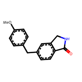 COc1ccc(Cc2ccc3c(c2)CNC3=O)cc1